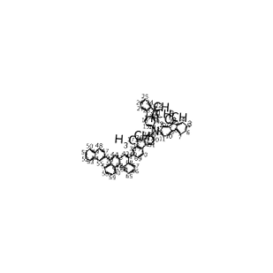 CC1(C)c2ccccc2-c2ccc(N(c3ccc4c(c3)C(C)(C)c3ccccc3-4)c3ccc4c(c3)C(C)(C)c3cc(-c5cc6cc(-c7ccc8ccccc8c7)c7ccccc7c6c6ccccc56)ccc3-4)cc21